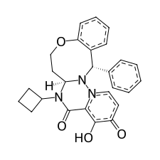 O=C1c2c(O)c(=O)ccn2N2[C@@H](c3ccccc3)c3ccccc3OCC[C@@H]2N1C1CCC1